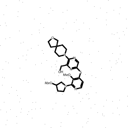 COc1c(Sc2cnc(N3CCC4(CCOC4)CC3)c(CO)n2)ccnc1N1CCC(OC)C1